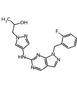 CC(O)Cn1cc(Nc2ncc3cnn(Cc4ccccc4F)c3n2)cn1